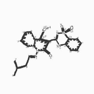 CC(C)CC=Nn1c(=O)c(C2=NS(=O)(=O)c3ccccc3N2)c(O)c2ccccc21